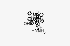 CN(C(=O)OCc1ccccc1)C1CCCCC1C(=O)N1CCC[C@H]1C(=O)N[C@@H](CCCNC(=N)N)C(=O)C(O[C]=O)c1c2cccc1C(=O)N2